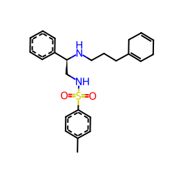 Cc1ccc(S(=O)(=O)NC[C@H](NCCCC2=CCC=CC2)c2ccccc2)cc1